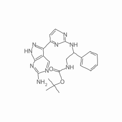 CC(C)(C)OC(=O)NCC(Nc1nccc(-c2n[nH]c3nc(N)ncc23)n1)c1ccccc1